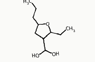 CCCC1CC(C(O)O)C(CC)O1